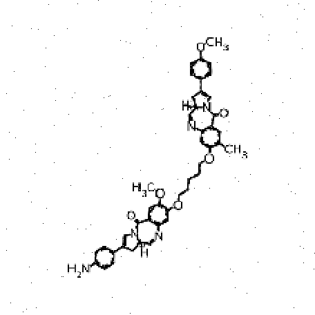 COc1ccc(C2=CN3C(=O)c4cc(C)c(OCCCCCOc5cc6c(cc5OC)C(=O)N5C=C(c7ccc(N)cc7)C[C@H]5C=N6)cc4N=C[C@@H]3C2)cc1